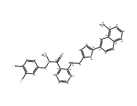 CN(Cc1ccc(I)c(I)c1)C(=O)c1nccnc1NCc1ccc(-c2ccc3ncnc(N)c3c2)s1